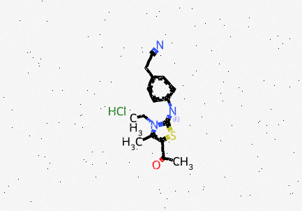 CCn1c(C)c(C(C)=O)s/c1=N/c1ccc(CC#N)cc1.Cl